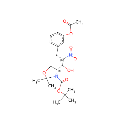 CC(=O)Oc1cccc(C[C@@H](C(O)[C@H]2COC(C)(C)N2C(=O)OC(C)(C)C)[N+](=O)[O-])c1